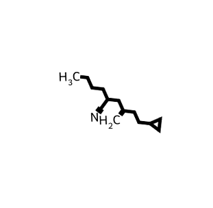 C=C(CCC1CC1)CC(C#N)CCCC